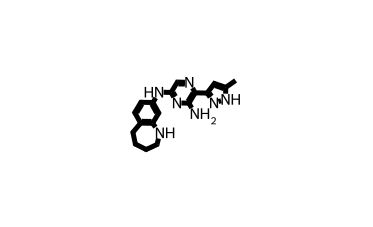 Cc1cc(-c2ncc(Nc3ccc4c(c3)NCCCC4)nc2N)n[nH]1